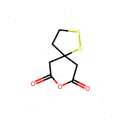 O=C1CC2(CCSS2)CC(=O)O1